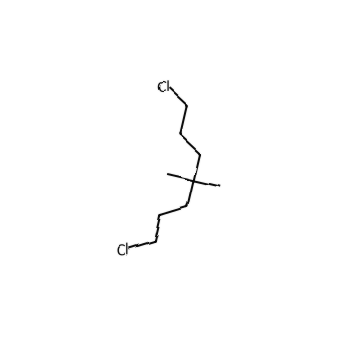 CC(C)(CCCCl)CCCCl